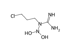 N=C(N)N(CCCCl)N(O)O